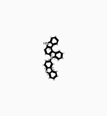 c1ccc2c(c1)[nH]c1ccc3c(c4ccccc4n3-c3ccc4sc5ccccc5c4c3)c12